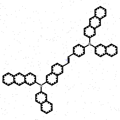 C(=C\c1ccc2cc(N(c3ccc4ccccc4c3)c3ccc4cc5ccccc5cc4c3)ccc2c1)/c1ccc(N(c2ccc3ccccc3c2)c2ccc3cc4ccccc4cc3c2)cc1